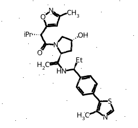 C=C(N[C@@H](CC)c1ccc(-c2scnc2C)cc1)[C@@H]1C[C@@H](O)CN1C(=O)[C@@H](c1cc(C)no1)C(C)C